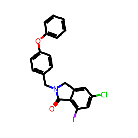 O=C1c2c(I)cc(Cl)cc2CN1Cc1ccc(Oc2ccccc2)cc1